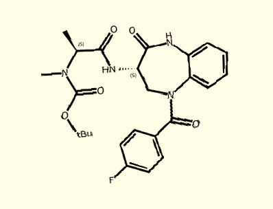 C[C@@H](C(=O)N[C@H]1CN(C(=O)c2ccc(F)cc2)c2ccccc2NC1=O)N(C)C(=O)OC(C)(C)C